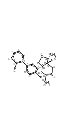 C[C@H]1OC[C@]2(c3cc(-c4cccnc4F)ccc3F)SC(N)=NC[C@@H]12